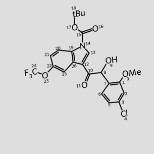 COc1cc(Cl)ccc1C(O)C(=O)c1cn(C(=O)OC(C)(C)C)c2ccc(OC(F)(F)F)cc12